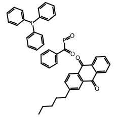 CCCCCc1ccc2c(c1)C(=O)c1ccccc1C2=O.O=PC(=O)c1ccccc1.c1ccc(P(c2ccccc2)c2ccccc2)cc1